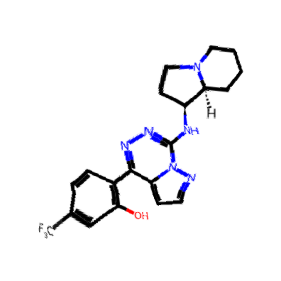 Oc1cc(C(F)(F)F)ccc1-c1nnc(N[C@H]2CCN3CCCC[C@@H]23)n2nccc12